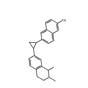 CC1c2cc(C3CC3c3ccc4cc(C#N)ccc4c3)ccc2CCN1C